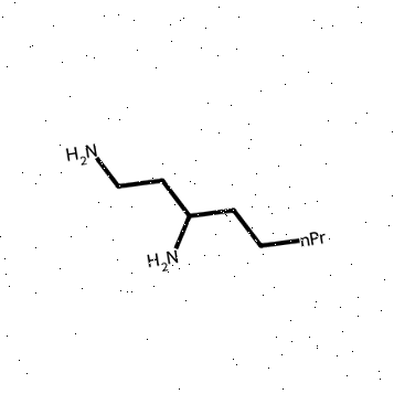 CCCCCC(N)CCN